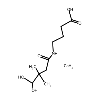 CC(C)(CC(=O)NCCCC(=O)O)C(O)O.[CaH2]